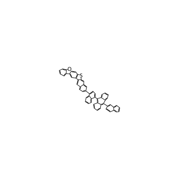 c1ccc2cc(-c3c4ccccc4c(-c4ccc(-c5ccc6cc7c(cc6c5)sc5cc6oc8ccccc8c6cc57)c5ccccc45)c4ccccc34)ccc2c1